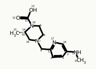 CNc1ccc(CN2CCN(C(=O)O)[C@@H](C)C2)nc1